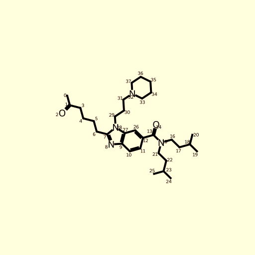 CC(=O)CCCCc1nc2ccc(C(=O)N(CCC(C)C)CCC(C)C)cc2n1CCCN1CCCCC1